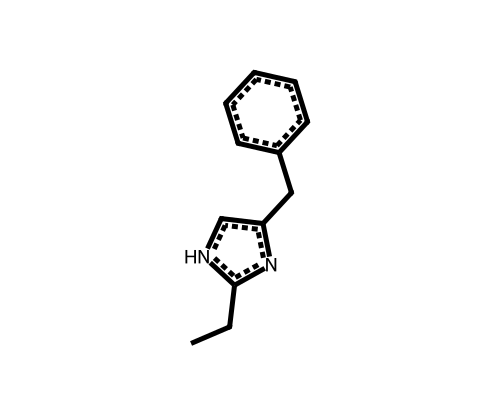 CCc1nc(Cc2ccccc2)c[nH]1